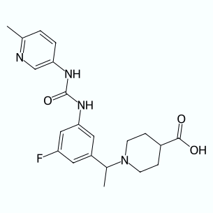 Cc1ccc(NC(=O)Nc2cc(F)cc(C(C)N3CCC(C(=O)O)CC3)c2)cn1